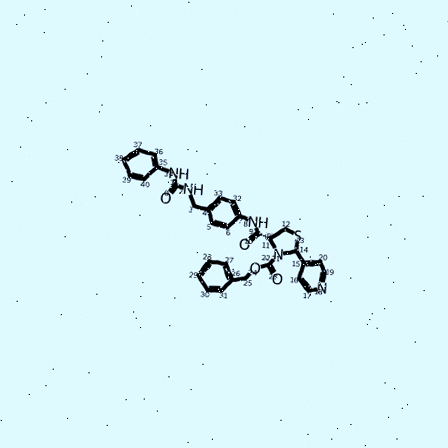 O=C(NCc1ccc(NC(=O)[C@@H]2CSC(c3ccncc3)N2C(=O)OCc2ccccc2)cc1)Nc1ccccc1